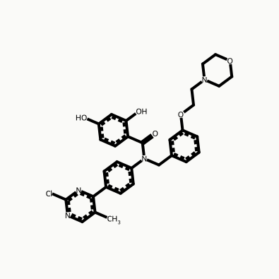 Cc1cnc(Cl)nc1-c1ccc(N(Cc2cccc(OCCN3CCOCC3)c2)C(=O)c2ccc(O)cc2O)cc1